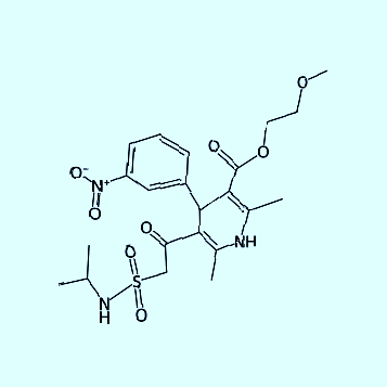 COCCOC(=O)C1=C(C)NC(C)=C(C(=O)CS(=O)(=O)NC(C)C)C1c1cccc([N+](=O)[O-])c1